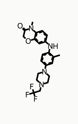 Cc1cc(N2CCN(CC(F)(F)F)CC2)ccc1Nc1ccc2c(c1)OCC(=O)N2C